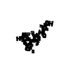 Cc1nn(CC(=O)N2CC(O)C2)c(C)c1-c1cc(C(F)(F)F)cc2[nH]ncc12